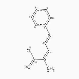 CC(=CC=Cc1ccccc1)C(=O)Cl